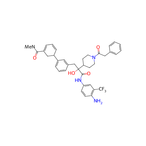 CNC(=O)C1=CC=CC(c2cccc(CC(O)(C(=O)Nc3ccc(N)c(C(F)(F)F)c3)C3CCN(C(=O)Cc4ccccc4)CC3)c2)C1